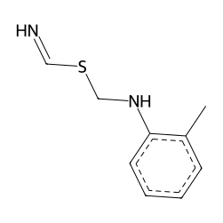 Cc1ccccc1NCSC=N